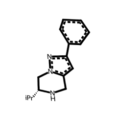 CC(C)[C@@H]1Cn2nc(-c3ccccc3)cc2CN1